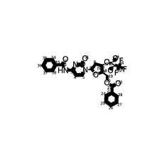 O=C(Nc1ccn([C@@H]2C[C@H](OS(=O)(=O)C(F)(F)F)[C@@H](COC(=O)c3ccccc3)O2)c(=O)n1)c1ccccc1